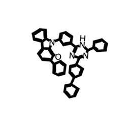 c1ccc(-c2ccc(C3=NC(c4ccccc4)NC(c4cccc(-n5c6ccccc6c6ccc7c8ccccc8oc7c65)c4)=N3)cc2)cc1